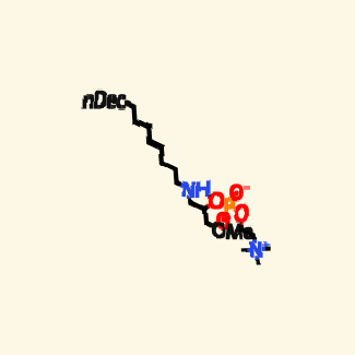 CCCCCCCCCCCCCCCCCCNCC(COC)OP(=O)([O-])OCC[N+](C)(C)C